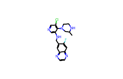 CC1CN(c2c(Cl)cncc2NCc2cc3nccnc3cc2F)CCN1